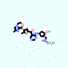 Cc1cn2c(n1)[C@@H](c1cc(C(=O)c3cncnc3N[C@H]3C[C@H](O)[C@@H]([CH]NS(=O)(=O)O)C3)sc1C)OCC2